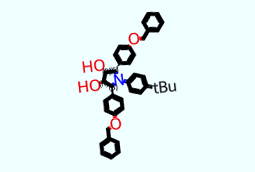 CC(C)(C)c1ccc(N2[C@@H](c3ccc(OCc4ccccc4)cc3)[C@@H](O)[C@H](O)[C@@H]2c2ccc(OCc3ccccc3)cc2)cc1